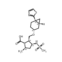 C[C@@H]1C[C@H](NS(C)(=O)=O)[C@H](CO[C@@H]2CC[C@]3(c4nccs4)C[C@@H]3C2)N1C(=O)O